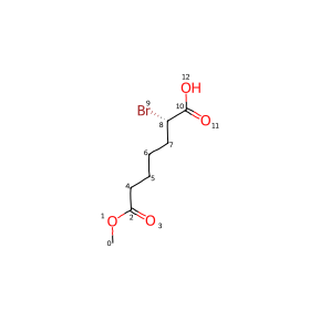 COC(=O)CCCC[C@H](Br)C(=O)O